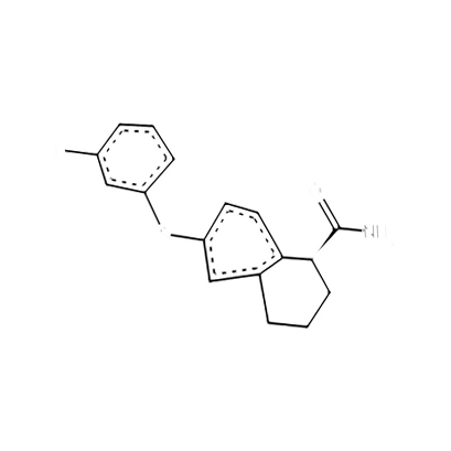 NC(=O)[C@H]1CCCc2cc(Sc3cccc(F)c3)ccc21